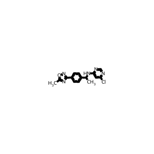 Cc1nc(-c2ccc(C(C)Nc3cc(Cl)ncn3)cc2)no1